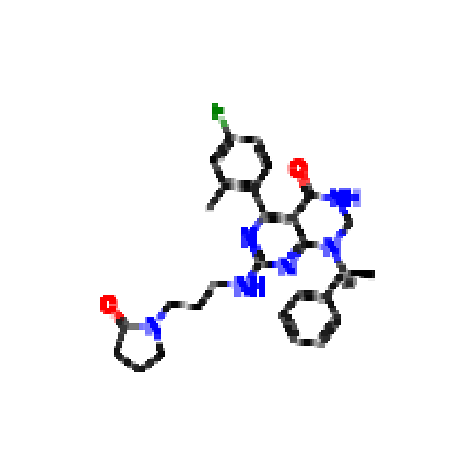 Cc1cc(F)ccc1-c1nc(NCCCN2CCCC2=O)nc2c1C(=O)NCN2[C@@H](C)c1ccccc1